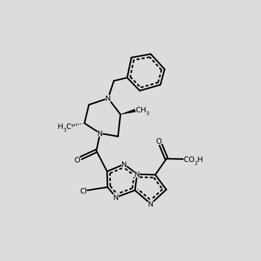 C[C@@H]1CN(Cc2ccccc2)[C@@H](C)CN1C(=O)c1nn2c(C(=O)C(=O)O)cnc2nc1Cl